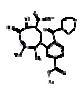 C=C1/C=C(/OC)C(C)N(c2cc(C(=O)OC(C)(C)C)ccc2C(=C)C2CCCCC2)C/C(C(=O)OC)=C\1C